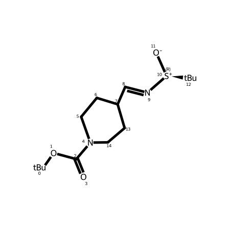 CC(C)(C)OC(=O)N1CCC(C=N[S@@+]([O-])C(C)(C)C)CC1